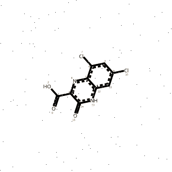 O=C(O)c1nc2c(Cl)cc(Cl)cc2[nH]c1=O